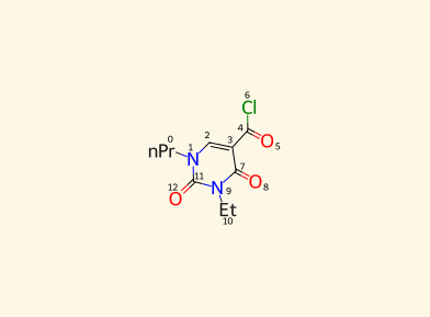 CCCn1cc(C(=O)Cl)c(=O)n(CC)c1=O